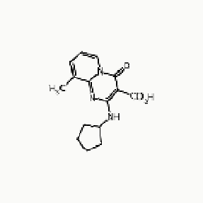 Cc1cccn2c(=O)c(C(=O)O)c(NC3CCCC3)nc12